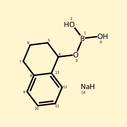 OB(O)OC1CCCc2ccccc21.[NaH]